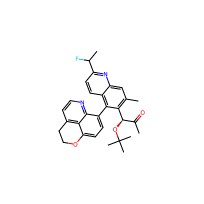 CC(=O)[C@@H](OC(C)(C)C)c1c(C)cc2nc(C(C)F)ccc2c1-c1ccc2c3c(ccnc13)CCO2